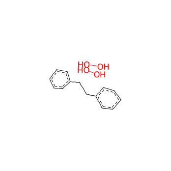 OO.OO.c1ccc(CCc2ccccc2)cc1